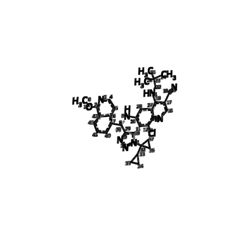 COc1nccc2c([C@H](Nc3cc(Cl)c4ncc(C#N)c(NCC(C)(C)C)c4c3)c3cn(C4(C5CC5)CC4)nn3)cccc12